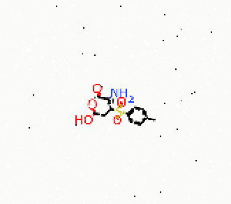 Cc1ccc(S(=O)(=O)C(CC(=O)O)[C@H](N)[C]=O)cc1